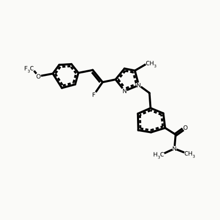 Cc1cc(C(F)=Cc2ccc(OC(F)(F)F)cc2)nn1Cc1cccc(C(=O)N(C)C)c1